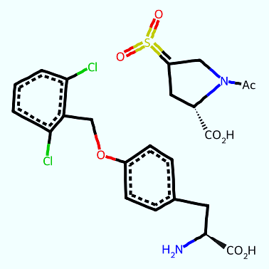 CC(=O)N1CC(=S(=O)=O)C[C@H]1C(=O)O.N[C@@H](Cc1ccc(OCc2c(Cl)cccc2Cl)cc1)C(=O)O